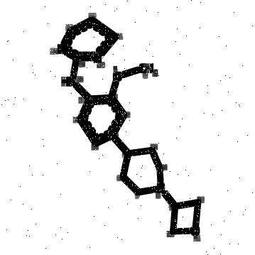 COc1cc(C2CCN(C3COC3)CC2)ccc1Nc1ncccn1